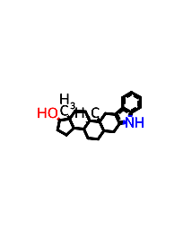 CC12CCC3C(CCC4Cc5[nH]c6ccccc6c5CC43C)C1CCC2O